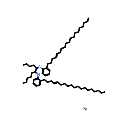 CCCCCCCCCCCCCCC=CCCCc1ccccc1N=C(CCCC)C(CCCCC)=Nc1ccccc1CCCC=CCCCCCCCCCCCCCC.[Ni]